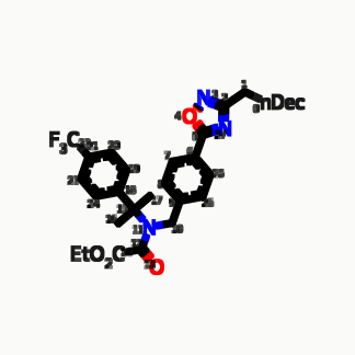 CCCCCCCCCCCc1noc(-c2ccc(CN(C(=O)C(=O)OCC)C(C)(C)c3ccc(C(F)(F)F)cc3)cc2)n1